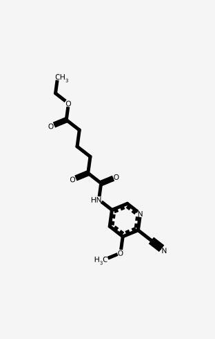 CCOC(=O)CCCC(=O)C(=O)Nc1cnc(C#N)c(OC)c1